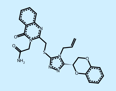 C=CCn1c(SCc2nc3ccccc3c(=O)n2CC(N)=O)nnc1[C@@H]1COc2ccccc2O1